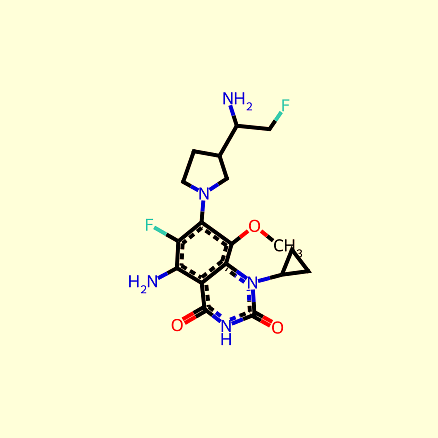 COc1c(N2CCC(C(N)CF)C2)c(F)c(N)c2c(=O)[nH]c(=O)n(C3CC3)c12